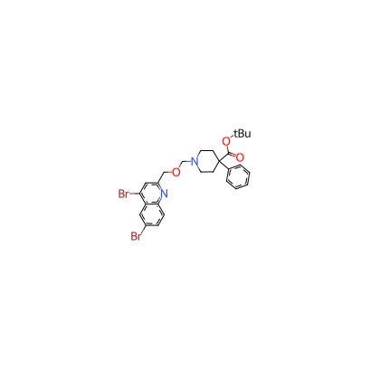 CC(C)(C)OC(=O)C1(c2ccccc2)CCN(COCc2cc(Br)c3cc(Br)ccc3n2)CC1